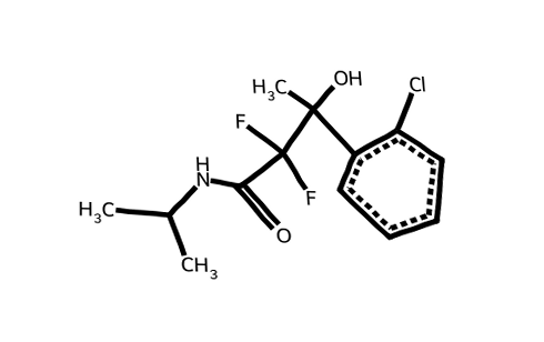 CC(C)NC(=O)C(F)(F)C(C)(O)c1ccccc1Cl